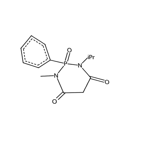 CC(C)N1C(=O)CC(=O)N(C)P1(=O)c1ccccc1